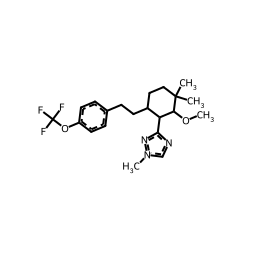 COC1C(c2ncn(C)n2)C(CCc2ccc(OC(F)(F)F)cc2)CCC1(C)C